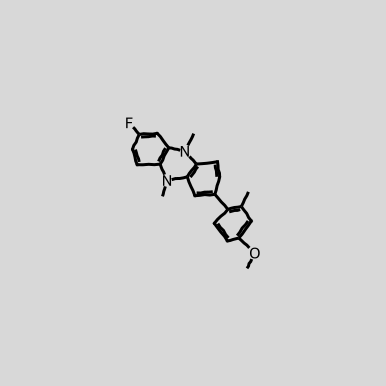 COc1ccc(-c2ccc3c(c2)N(C)c2ccc(F)cc2N3C)c(C)c1